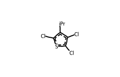 [CH2]C(C)c1c(Cl)sc(Cl)c1Cl